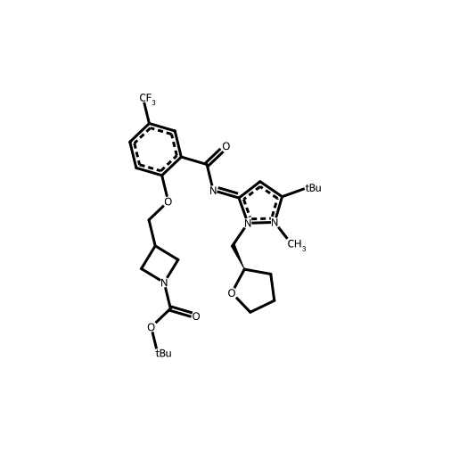 Cn1c(C(C)(C)C)c/c(=N\C(=O)c2cc(C(F)(F)F)ccc2OCC2CN(C(=O)OC(C)(C)C)C2)n1C[C@H]1CCCO1